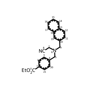 CCOC(=O)c1ccc(CN(CC#N)Cc2ccc3ccccc3c2)cc1